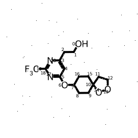 OCCc1cc(OC2CCC3(CCOO3)CC2)nc(C(F)(F)F)n1